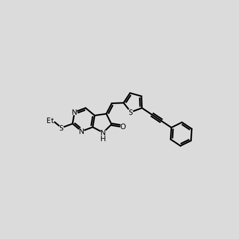 CCSc1ncc2c(n1)NC(=O)C2=Cc1ccc(C#Cc2ccccc2)s1